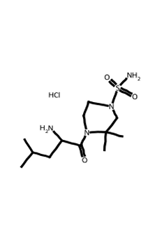 CC(C)CC(N)C(=O)N1CCN(S(N)(=O)=O)CC1(C)C.Cl